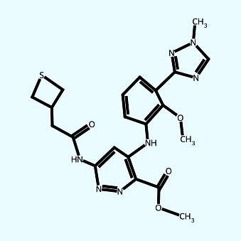 COC(=O)c1nnc(NC(=O)CC2CSC2)cc1Nc1cccc(-c2ncn(C)n2)c1OC